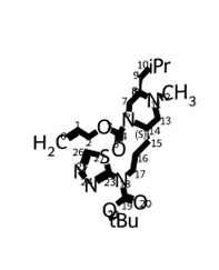 C=CCOC(=O)N1C[C@@H](CC(C)C)N(C)C[C@@H]1CCCN(C(=O)OC(C)(C)C)c1nncs1